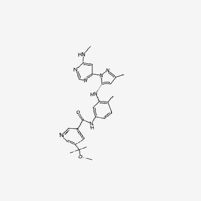 CNc1cc(-n2nc(C)cc2Nc2cc(NC(=O)c3cncc(C(C)(C)OC)c3)ccc2C)ncn1